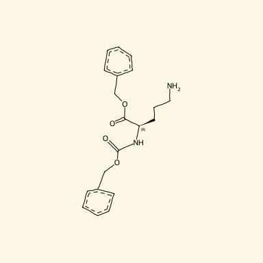 NCCC[C@@H](NC(=O)OCc1ccccc1)C(=O)OCc1ccccc1